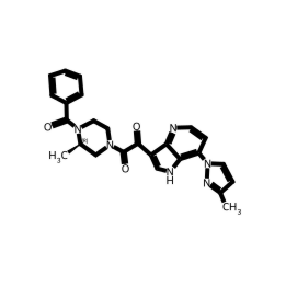 Cc1ccn(-c2ccnc3c(C(=O)C(=O)N4CCN(C(=O)c5ccccc5)[C@H](C)C4)c[nH]c23)n1